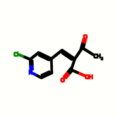 CC(=O)C(=Cc1ccnc(Cl)c1)C(=O)O